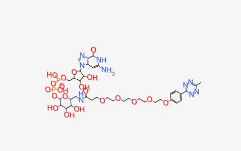 Cc1nnc(-c2ccc(OCCOCCOCCOCCOCCC(=O)NCC3OC(OP(=O)(O)OP(=O)(O)OCC4OC(n5cnc6c(=O)[nH]c(N)cc65)C(O)C4O)C(O)C(O)C3O)cc2)nn1